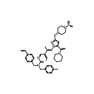 C=Cc1ccc(CN(Cc2ccc(C)cc2)C(=C)\N=C/C(=C\C)C(/C)=C/n2nc(CN3CCN([PH](=C)C)CC3)cc2C(=C)N2CCCCC2)cc1